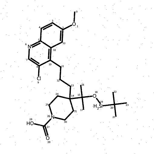 COc1ccc2ncc(Cl)c(CCCC3(C(C)(C)O[SiH2]C(C)(C)C)CCN(C(=O)O)CC3)c2c1